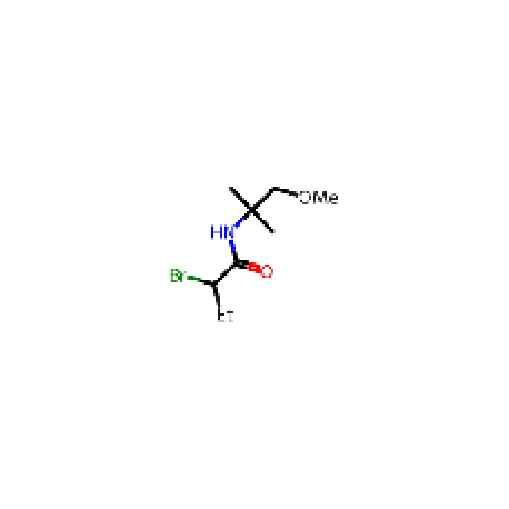 CCC(Br)C(=O)NC(C)(C)COC